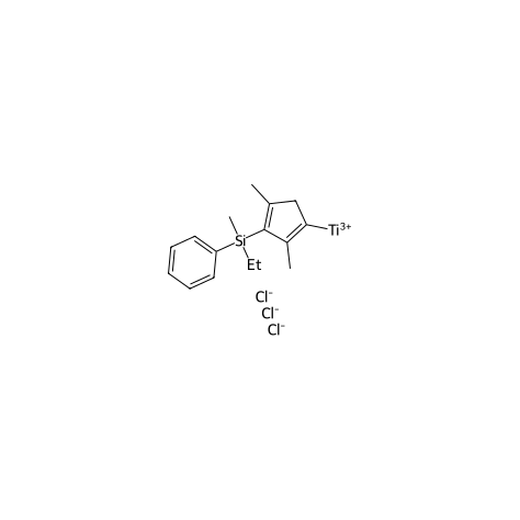 CC[Si](C)(C1=C(C)C[C]([Ti+3])=C1C)c1ccccc1.[Cl-].[Cl-].[Cl-]